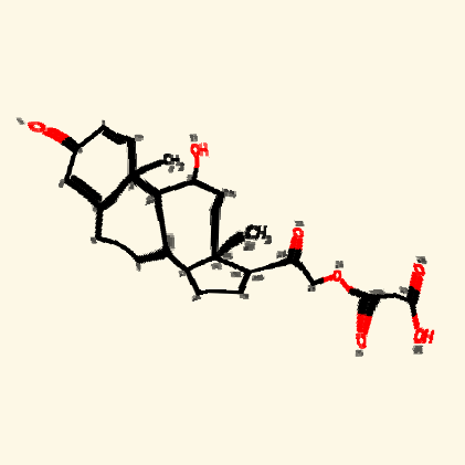 CC12C=CC(=O)C=C1CCC1C2C(O)C[C@@]2(C)C1CC[C@@H]2C(=O)COC(=O)C(=O)O